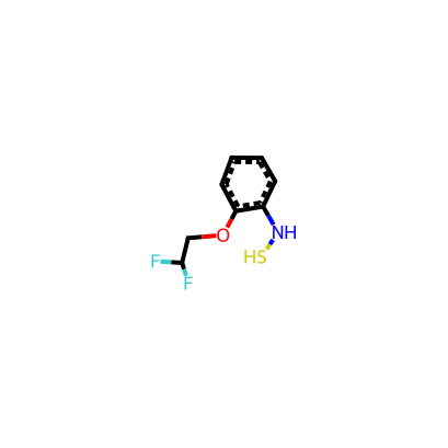 FC(F)COc1ccccc1NS